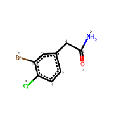 NC(=O)Cc1ccc(Cl)c(Br)c1